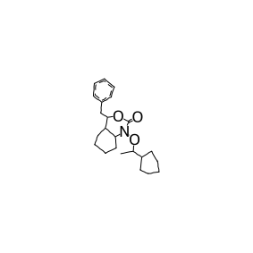 CC(ON1C(=O)OC(Cc2ccccc2)C2CCCCC21)C1CCCCC1